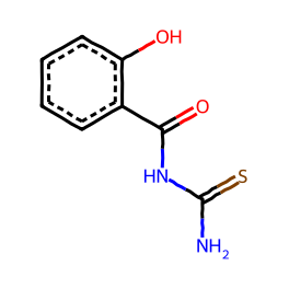 NC(=S)NC(=O)c1ccccc1O